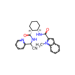 Cn1c(C(=O)N[C@H]2CCCC[C@H]2C(=O)NC(C#N)c2ccccn2)cc2ccccc21